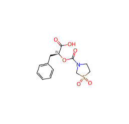 O=C(O)[C@H](Cc1ccccc1)OC(=O)N1CCS(=O)(=O)C1